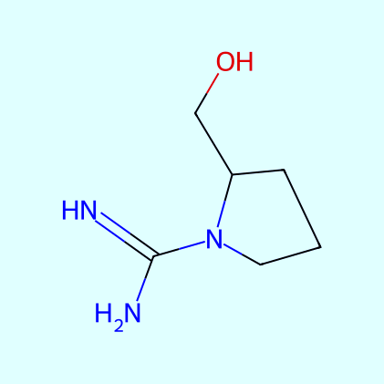 N=C(N)N1CCCC1CO